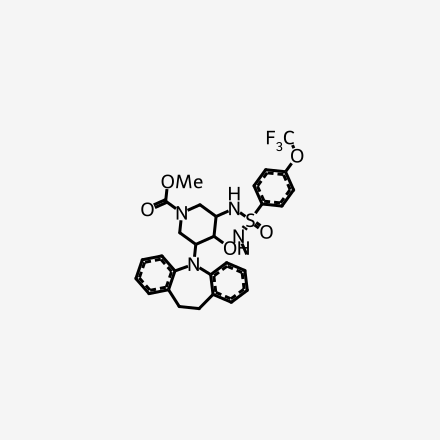 CN=S(=O)(NC1CN(C(=O)OC)CC(N2c3ccccc3CCc3ccccc32)C1O)c1ccc(OC(F)(F)F)cc1